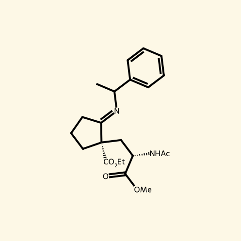 CCOC(=O)[C@]1(C[C@H](NC(C)=O)C(=O)OC)CCC/C1=N\C(C)c1ccccc1